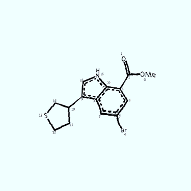 COC(=O)c1cc(Br)cc2c(C3CCSC3)c[nH]c12